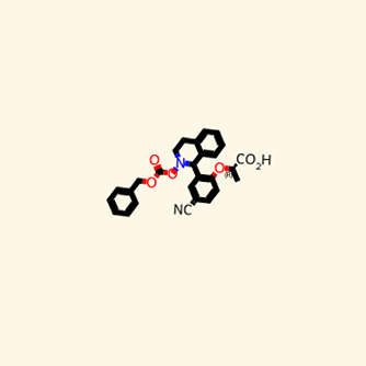 C[C@@H](Oc1ccc(C#N)cc1C1c2ccccc2CCN1OC(=O)OCc1ccccc1)C(=O)O